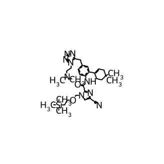 CN(C)CCn1nnnc1Cc1ccc(NC(=O)c2nc(C#N)cn2COCC[Si](C)(C)C)c(C2=CCC(C)(C)CC2)c1